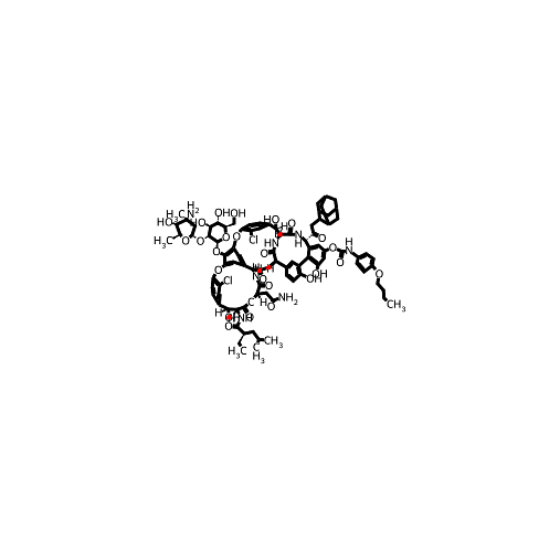 CCCCOc1ccc(NC(=O)Oc2cc(O)c3c(c2)[C@@H](C(=O)CC2C4CC5CC(C4)CC2C5)NC(=O)[C@H]2NC(=O)[C@H](CC(=O)[C@@H]4NC(=O)[C@H](CC(N)=O)CC(=O)[C@H](NC(=O)[C@H](CC)CC(C)C)[C@H](O)c5ccc(c(Cl)c5)Oc5cc4cc(c5O[C@@H]4O[C@H](CO)[C@@H](O)[C@H](O)[C@H]4O[C@H]4C[C@](C)(N)[C@H](O)[C@H](C)O4)Oc4ccc(cc4Cl)[C@H]2O)c2ccc(O)c-3c2)cc1